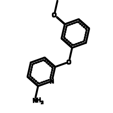 COc1cccc(Oc2cccc(N)n2)c1